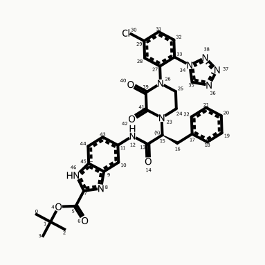 CC(C)(C)OC(=O)c1nc2cc(NC(=O)[C@H](Cc3ccccc3)N3CCN(c4cc(Cl)ccc4-n4cnnn4)C(=O)C3=O)ccc2[nH]1